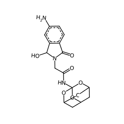 Nc1ccc2c(c1)C(O)N(CC(=O)NC13OC4CC(CC(C4)O1)O3)C2=O